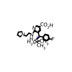 C[Si](C)(C)/C=C(\c1ccc(F)cc1)c1cc(C(=O)O)cnc1NCCN1CCCC1